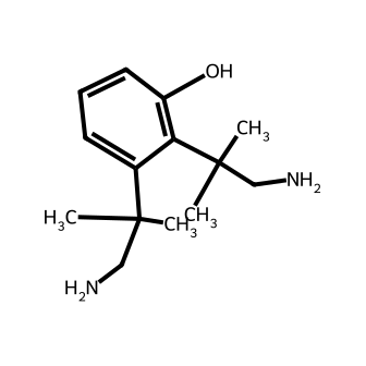 CC(C)(CN)c1cccc(O)c1C(C)(C)CN